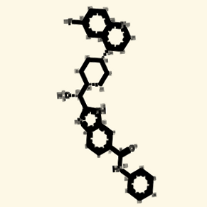 C[C@@H](c1nc2ccc(C(=O)Nc3ccccc3)cc2[nH]1)[C@H]1CC[C@@H](c2ccnc3ccc(F)cc32)CC1